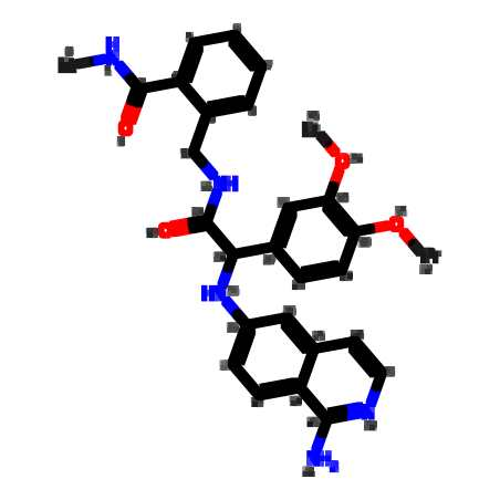 CCNC(=O)c1ccccc1CNC(=O)C(Nc1ccc2c(N)nccc2c1)c1ccc(OC(C)C)c(OCC)c1